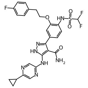 NC(=O)c1c(-c2ccc(NS(=O)(=O)C(F)F)c(OCCc3ccc(F)cc3)c2)n[nH]c1Nc1cnc(C2CC2)cn1